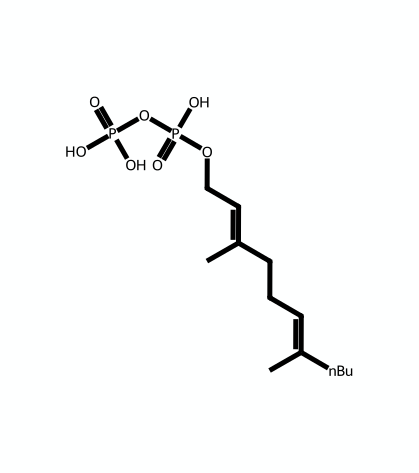 CCCC/C(C)=C/CC/C(C)=C/COP(=O)(O)OP(=O)(O)O